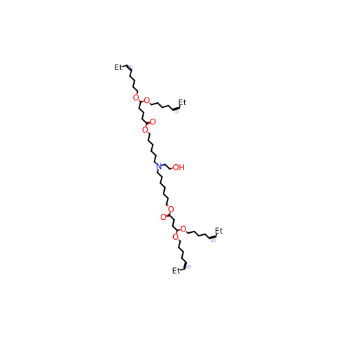 CC/C=C\CCCCOC(CCCC(=O)OCCCCCCN(CCO)CCCCCCCOC(=O)CCC(OCCCC/C=C\CC)OCCCC/C=C\CC)OCCCC/C=C\CC